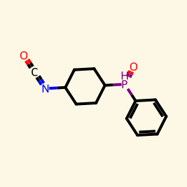 O=C=NC1CCC([PH](=O)c2ccccc2)CC1